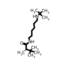 C[C@H](C(=O)NCCCCCCNC(C)(C)C)C(C)(C)C